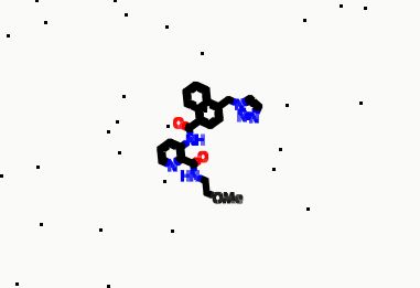 COCCNC(=O)c1ncccc1NC(=O)c1ccc(Cn2ccnn2)c2ccccc12